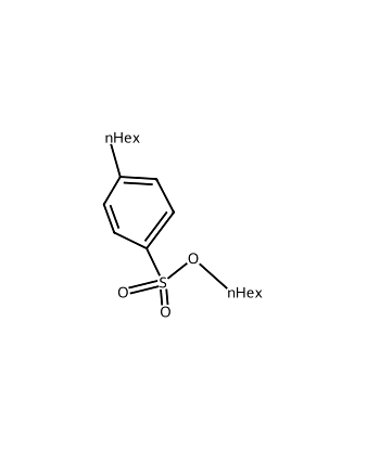 CCCCCCOS(=O)(=O)c1ccc(CCCCCC)cc1